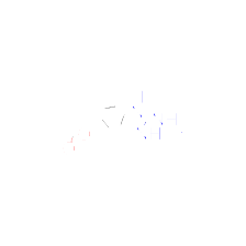 CCCC(O[C]=O)c1ccc(NC(=N)N)cc1